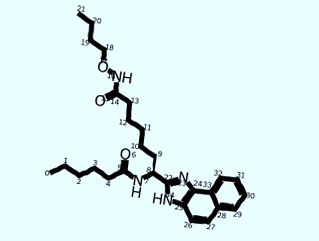 CCCCCC(=O)N[C@@H](CCCCCC(=O)NOCCCC)c1nc2c(ccc3ccccc32)[nH]1